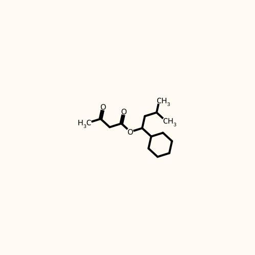 CC(=O)CC(=O)OC(CC(C)C)C1CCCCC1